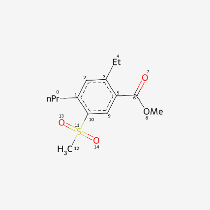 CCCc1cc(CC)c(C(=O)OC)cc1S(C)(=O)=O